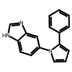 [c]1cc(-c2ccccc2)n(-c2ccc3[nH]cnc3c2)c1